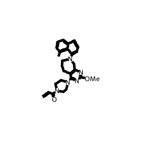 C=CC(=O)N1CCN(c2nc(OC)nc3c2CCCN(c2cccc4cccc(C)c24)C3)CC1